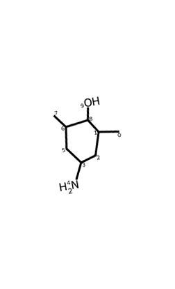 CC1CC(N)CC(C)C1O